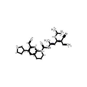 C=C/C(C#N)=C(\C=C(/C)NC(=O)N1CCCc2cc(C3CCOC3)c(C=O)nc21)OC(C)C